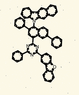 c1ccc(-c2ccc3c(-n4c5ccccc5c5cc6ccccc6cc54)c(-c4ccccc4)cc(-c4nc(-c5ccccc5)nc(-c5ccc6oc7ccccc7c6c5)n4)c3c2)cc1